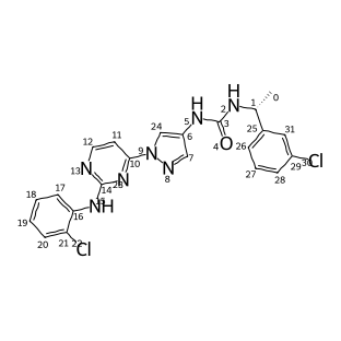 C[C@@H](NC(=O)Nc1cnn(-c2ccnc(Nc3ccccc3Cl)n2)c1)c1cccc(Cl)c1